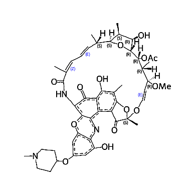 CO[C@H]1/C=C/O[C@@]2(C)Oc3c(C)c(O)c4c(=O)c(c5oc6cc(OC7CCN(C)CC7)cc(O)c6nc-5c4c3C2=O)NC(=O)/C(C)=C\C=C\[C@H](C)[C@@H]2O[C@H]([C@H](O)[C@@H]2C)[C@H](OC(C)=O)[C@@H]1C